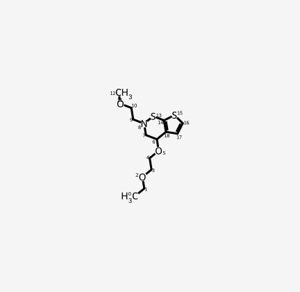 CCOCCOC1CN(CCOC)Sc2sccc21